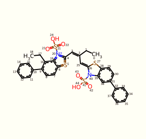 CCC(=Cc1sc2ccc(-c3ccccc3)c(CC)c2[n+]1S(=O)(=O)O)C=C1Sc2ccc(-c3ccccc3)cc2N1S(=O)(=O)O